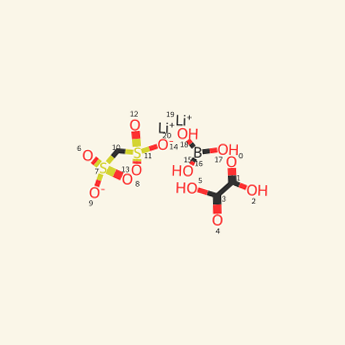 O=C(O)C(=O)O.O=S(=O)([O-])CS(=O)(=O)[O-].OB(O)O.[Li+].[Li+]